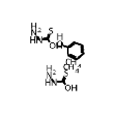 C.C.NNC(O)=S.NNC(O)=S.Oc1ccccc1